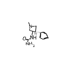 CN1CC(NC(N)=O)[C@@H](c2ccccc2)C1